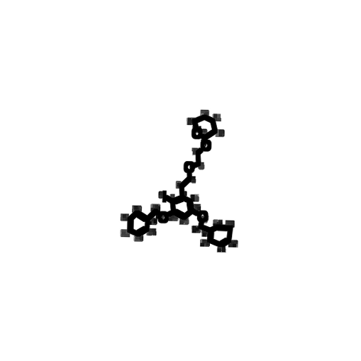 Ic1c(CCOCCOC2CCCCO2)cc(OCc2ccccc2)cc1OCc1ccccc1